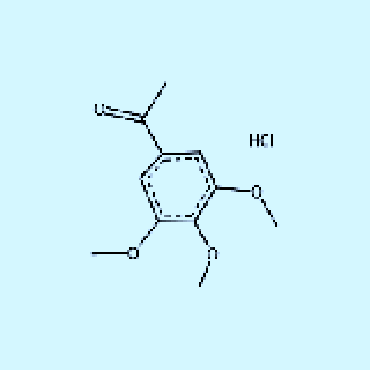 COc1cc(C(C)=O)cc(OC)c1OC.Cl